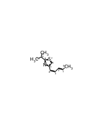 C/C=C/C=C\c1csc(C(C)C)n1